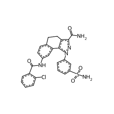 NC(=O)c1nn(-c2cccc(S(N)(=O)=O)c2)c2c1CCc1ccc(NC(=O)c3ccccc3Cl)cc1-2